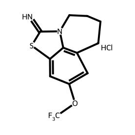 Cl.N=c1sc2cc(OC(F)(F)F)cc3c2n1CCCC3